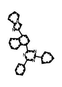 c1ccc(-c2nc(-c3ccccc3)nc(-c3ccc(-c4cn5ccccc5n4)c4ccccc34)n2)cc1